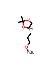 CCCCOCCC[C@H]1COC(C)(C)O1